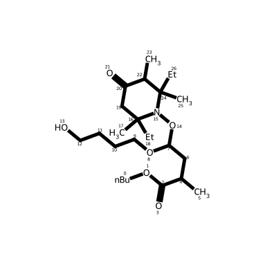 CCCCOC(=O)C(C)CC(OCCCCO)ON1C(C)(CC)CC(=O)C(C)C1(C)CC